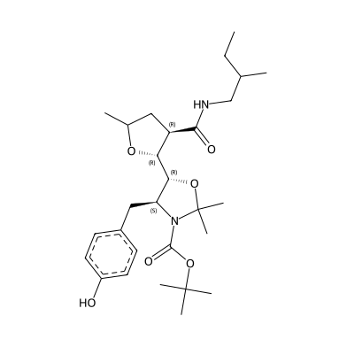 CCC(C)CNC(=O)[C@@H]1CC(C)O[C@H]1[C@@H]1OC(C)(C)N(C(=O)OC(C)(C)C)[C@H]1Cc1ccc(O)cc1